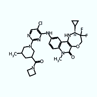 CC1CC(C(=O)N2CCC2)CN(c2ncc(Cl)c(Nc3ccc4c(c3)c3c(c(=O)n4C)OCC(F)(F)[C@H](C4CC4)N3)n2)C1